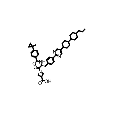 CCCC1CCC(C2CCC(c3cnc(-c4ccc(C[C@H](NC(=O)c5ccc(C6(C)CC6)cc5)C(=O)N5CC(C(=O)O)C5)cc4)nc3)CC2)CC1